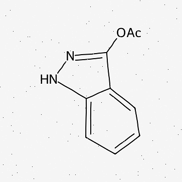 CC(=O)Oc1n[nH]c2ccccc12